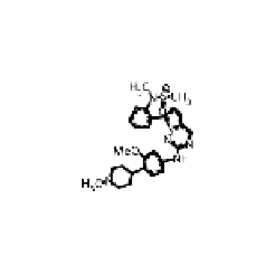 COc1cc(Nc2ncc3ccc(-c4ccccc4N(C)S(C)(=O)=O)n3n2)ccc1C1CCN(C)CC1